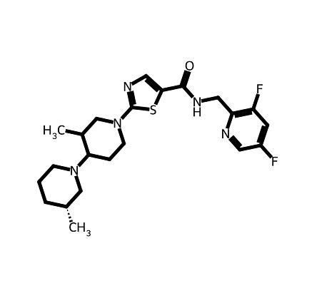 CC1CN(c2ncc(C(=O)NCc3ncc(F)cc3F)s2)CCC1N1CCC[C@@H](C)C1